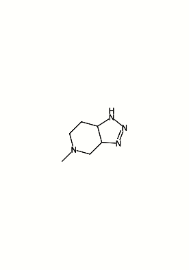 CN1CCC2NN=NC2C1